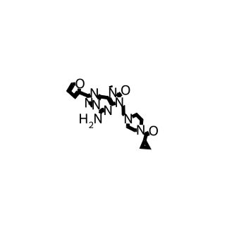 Cn1c(=O)n(CCN2CCN(C(=O)C3CC3)CC2)c2nc(N)n3nc(-c4ccco4)nc3c21